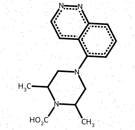 CC1CN(c2cccc3nnccc23)CC(C)N1C(=O)O